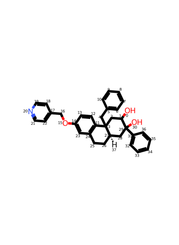 OC1CC2(Cc3ccccc3)c3ccc(OCc4ccncc4)cc3CC[C@@H]2CC1(O)c1ccccc1